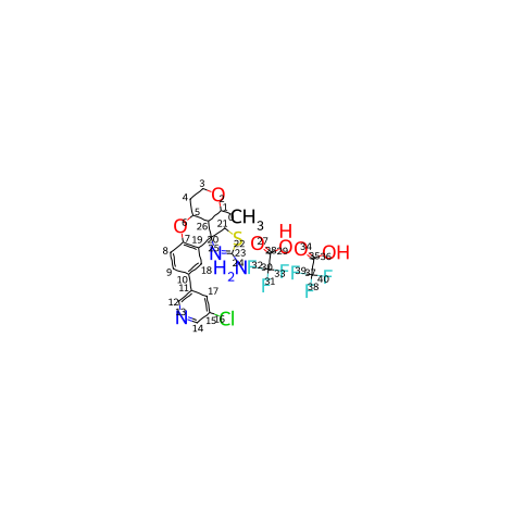 CC1OCCC2Oc3ccc(-c4cncc(Cl)c4)cc3C3(CSC(N)=N3)C12.O=C(O)C(F)(F)F.O=C(O)C(F)(F)F